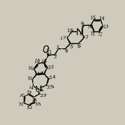 O=C(CCCC1CCN(Cc2ccccc2)CC1)c1ccc2c(c1)CCN(Cc1ccccc1)CC2